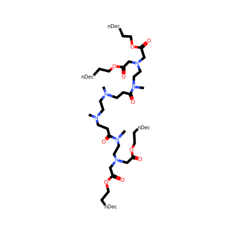 CCCCCCCCCCCCOC(=O)CN(CCN(C)C(=O)CCN(C)CCN(C)CCC(=O)N(C)CCN(CC(=O)OCCCCCCCCCCCC)CC(=O)OCCCCCCCCCCCC)CC(=O)OCCCCCCCCCCCC